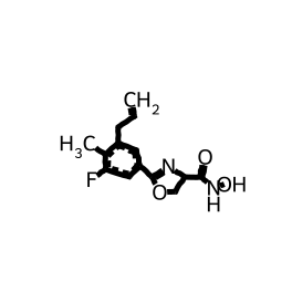 C=CCc1cc(C2=NC(C(=O)NO)CO2)cc(F)c1C